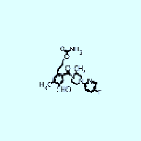 Cc1cc(CCCOC(N)=O)c(C(=O)N2CCN(c3ccc(F)cn3)C[C@@H]2C)cc1C=O